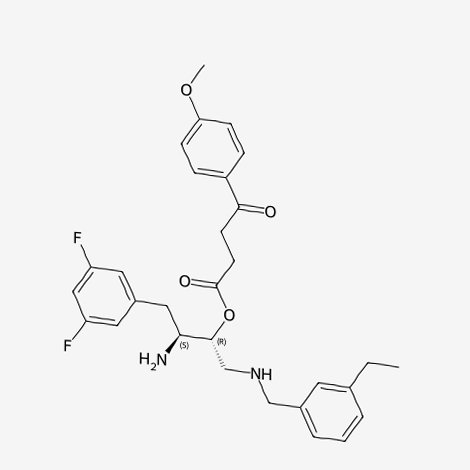 CCc1cccc(CNC[C@@H](OC(=O)CCC(=O)c2ccc(OC)cc2)[C@@H](N)Cc2cc(F)cc(F)c2)c1